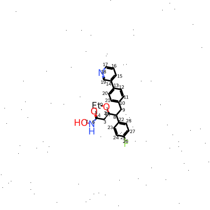 CCO[C@H](CC(=O)NO)C(Cc1ccc(-c2cccnc2)cc1)c1ccc(F)cc1